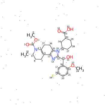 COC(=O)N1C2=C(CC[C@@H]1C)c1nc(C(O)c3cc(F)ccc3OC)n(C3CCCC(C(=O)O)C3)c1CC2